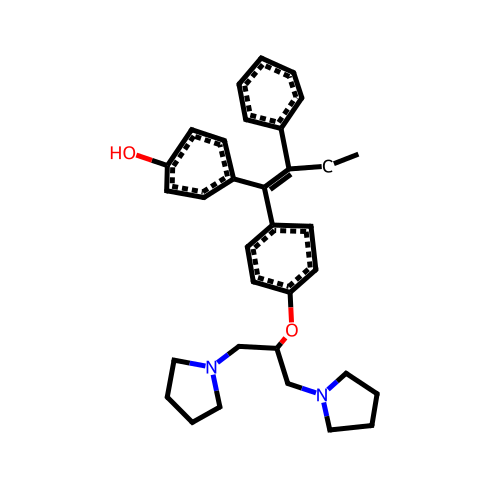 CCC(=C(c1ccc(O)cc1)c1ccc(OC(CN2CCCC2)CN2CCCC2)cc1)c1ccccc1